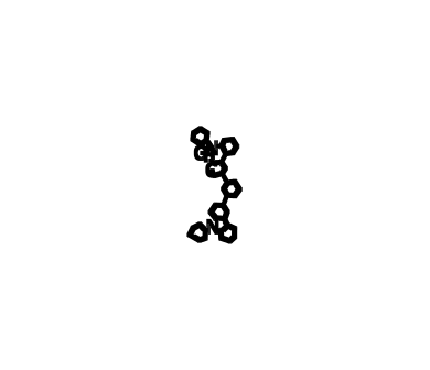 c1ccc(-n2c3ccccc3c3cc(-c4cccc(-c5ccc6c(c5)-c5ccccc5N5B6Oc6ccccc65)c4)ccc32)cc1